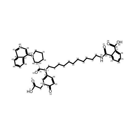 O=C(O)Cn1cc(N(CCCCCCCCCCCNC(=O)c2ccccc2C(=O)O)C(=O)[C@H]2CCCN(c3cncc4ccccc34)C2)ccc1=O